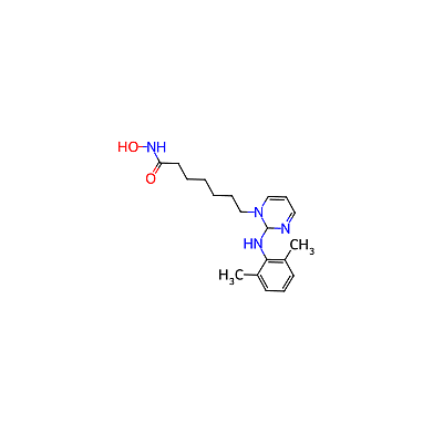 Cc1cccc(C)c1NC1N=CC=CN1CCCCCCC(=O)NO